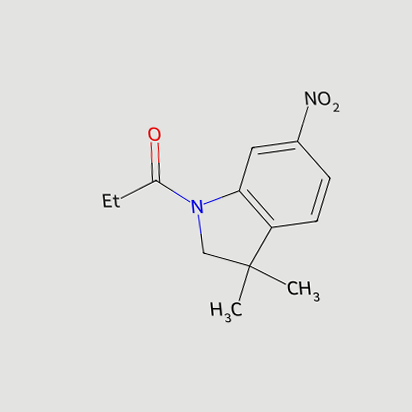 CCC(=O)N1CC(C)(C)c2ccc([N+](=O)[O-])cc21